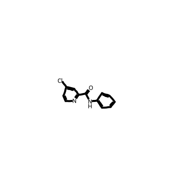 O=C(Nc1ccccc1)c1cc(Cl)ccn1